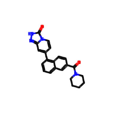 O=C(c1ccc2c(-c3ccn4c(=O)[nH]nc4c3)cccc2c1)N1CCCCC1